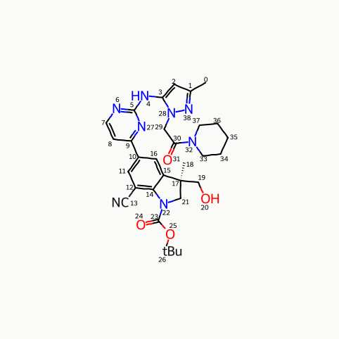 Cc1cc(Nc2nccc(-c3cc(C#N)c4c(c3)[C@@](C)(CO)CN4C(=O)OC(C)(C)C)n2)n(CC(=O)N2CCCCC2)n1